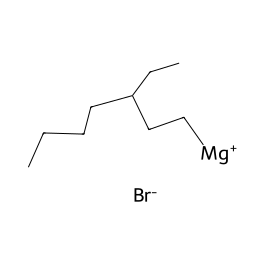 CCCCC(CC)C[CH2][Mg+].[Br-]